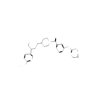 COc1ccc(C(CCC2CCN(C(=O)c3cccc(NC4=NCC(O)CN4)c3)CC2)CC(=O)O)cn1